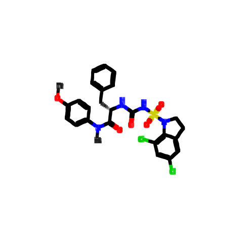 CCOc1ccc(N(CC)C(=O)[C@H](Cc2ccccc2)NC(=O)NS(=O)(=O)N2CCc3cc(Cl)cc(Cl)c32)cc1